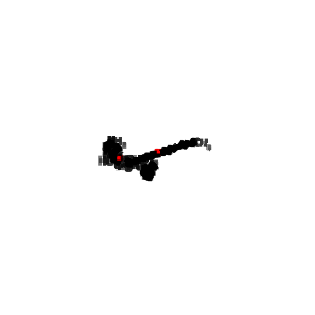 CCCCCCCCCCCCCCCCCCOC[C@H](COP(=O)(O)OC[C@H]1O[C@@](C#N)(c2ccc3c(N)ccnn23)[C@H](O)[C@@H]1O)OCc1ccccc1C#N